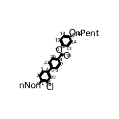 CCCCCCCCCc1ccc(-c2ccc(C(=O)Oc3ccc(OCCCCC)cc3)cc2)cc1Cl